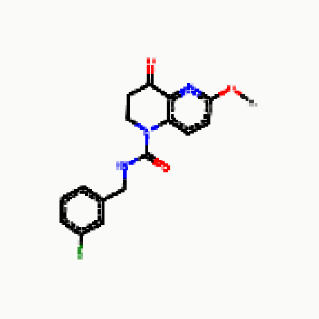 CCOc1ccc2c(n1)C(=O)CCN2C(=O)NCc1cccc(F)c1